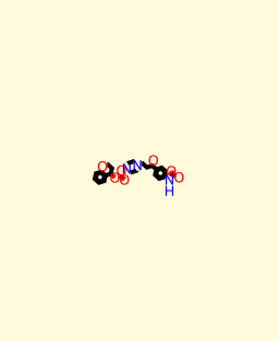 O=C(OC1CCOc2ccccc21)ON1CCN(CCC(=O)c2ccc3[nH]c(=O)oc3c2)CC1